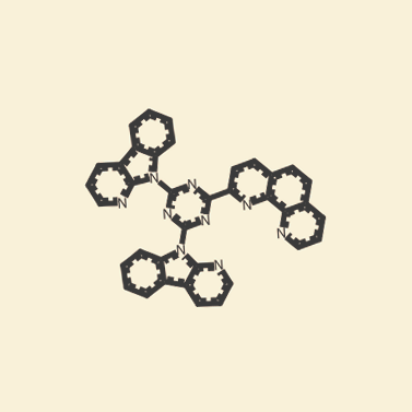 c1cnc2c(c1)ccc1ccc(-c3nc(-n4c5ccccc5c5cccnc54)nc(-n4c5ccccc5c5cccnc54)n3)nc12